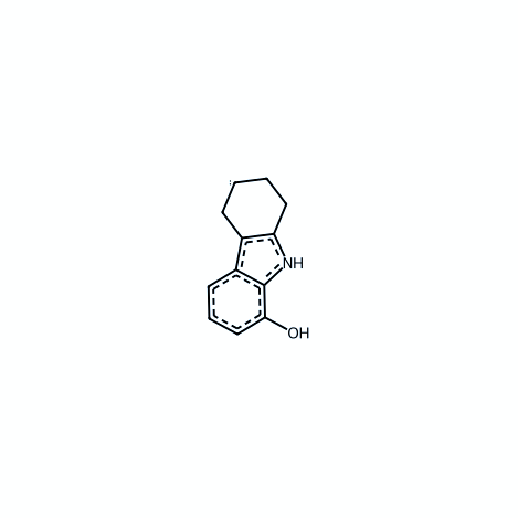 Oc1cccc2c3c([nH]c12)CC[C]C3